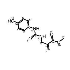 C=C(CNC(=O)Nc1ccc(O)cc1)C(=O)OC